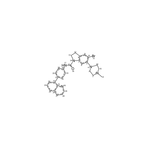 CN1CCN(c2cc3c(cc2Br)CCN3C(=O)Nc2ccc(-c3cccc4cccnc34)cc2)CC1